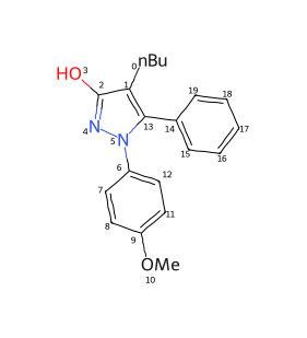 CCCCc1c(O)nn(-c2ccc(OC)cc2)c1-c1ccccc1